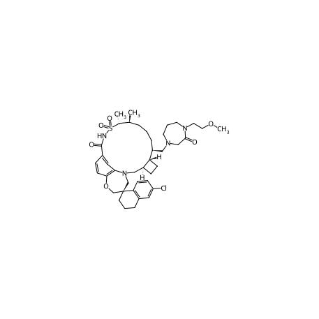 COCCN1CCCN(C[C@@H]2CCC[C@H](C)[C@@H](C)S(=O)(=O)NC(=O)c3ccc4c(c3)N(C[C@@H]3CC[C@@H]23)C[C@@]2(CCCc3cc(Cl)ccc32)CO4)CC1=O